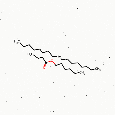 CCCCCCC[CH2][Sn][CH2]CCCCCCC.CCCCCCOC(=O)CCC